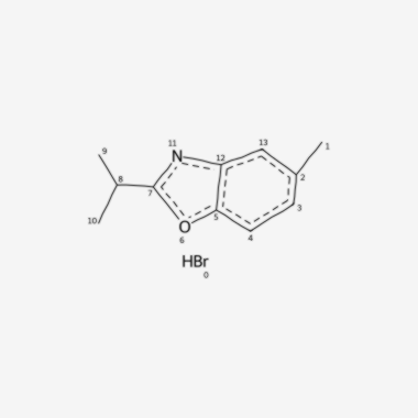 Br.Cc1ccc2oc(C(C)C)nc2c1